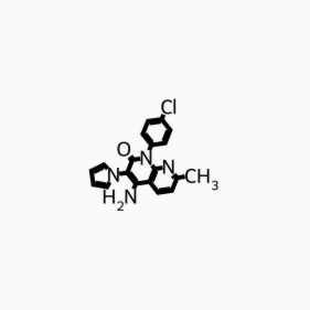 Cc1ccc2c(N)c(-n3cccc3)c(=O)n(-c3ccc(Cl)cc3)c2n1